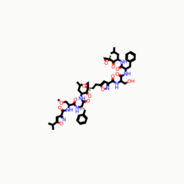 COCC(NC(=O)c1cc(C(C)C)on1)C(=O)N[C@@H](Cc1ccccc1)C(=O)NC(CC(C)C)C(=O)[C@@]1(CCc2cc(C(=O)NC(CO)C(=O)NC(Cc3ccccc3)C(=O)NC(CC(C)C)C(=O)[C@@]3(C)CO3)no2)CO1